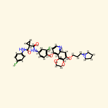 O=C(Nc1ccc(F)cc1)C1(C(=O)Nc2ccc(Oc3ccnc4cc(OCCCN5CCCC5)c5c(c34)OCCO5)c(F)c2)CC1